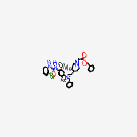 COc1cc([N+](CCC2CCN(CC(=O)OCc3ccccc3)CC2)(Cc2ccccc2)C(C)=O)ccc1NC(=O)Nc1ccccc1Br